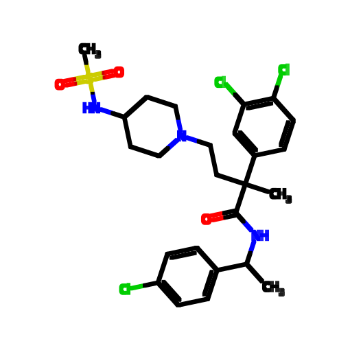 CC(NC(=O)C(C)(CCN1CCC(NS(C)(=O)=O)CC1)c1ccc(Cl)c(Cl)c1)c1ccc(Cl)cc1